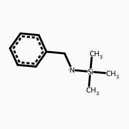 C[Si](C)(C)[N]Cc1ccccc1